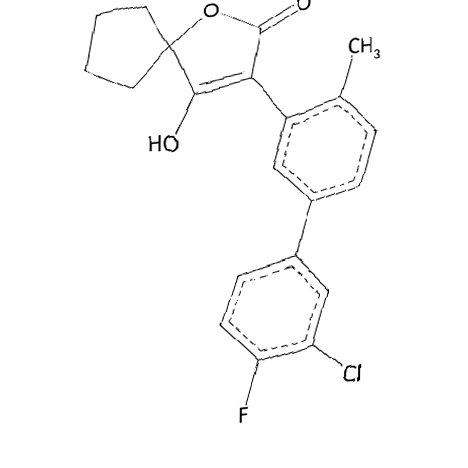 Cc1ccc(-c2ccc(F)c(Cl)c2)cc1C1=C(O)C2(CCCC2)OC1=O